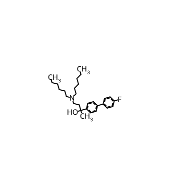 CCCCCCN(CCCCCC)CCC(C)(O)c1ccc(-c2ccc(F)cc2)cc1